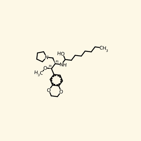 CCCCCCCC(O)N[C@H](CN1CCCC1)[C@H](OC)c1ccc2c(c1)OCCO2